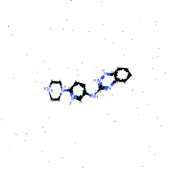 c1ccc2nc(Nc3ccc(N4CCNCC4)nc3)nnc2c1